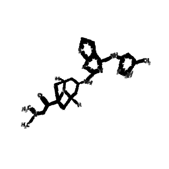 Cc1cc(Nc2nc(N[C@H]3C[C@@H]4CC5(C(=O)CN(C)C)C[C@H](C3)N45)nc3sccc23)n[nH]1